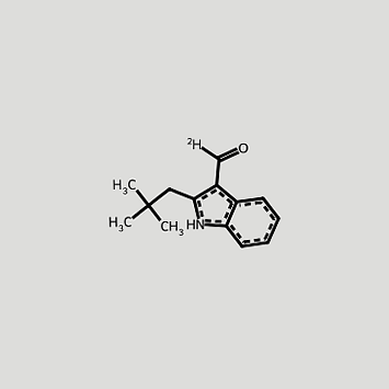 [2H]C(=O)c1c(CC(C)(C)C)[nH]c2ccccc12